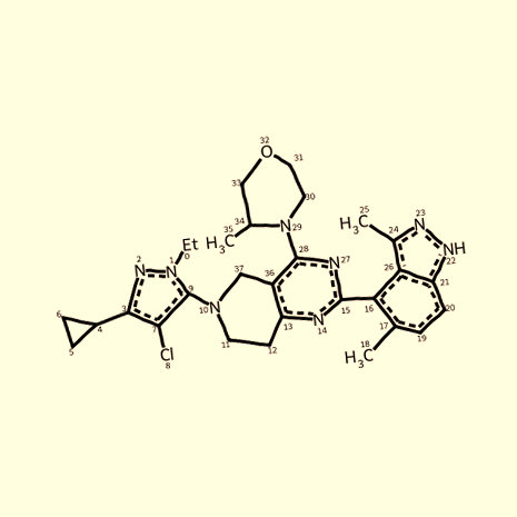 CCn1nc(C2CC2)c(Cl)c1N1CCc2nc(-c3c(C)ccc4[nH]nc(C)c34)nc(N3CCOCC3C)c2C1